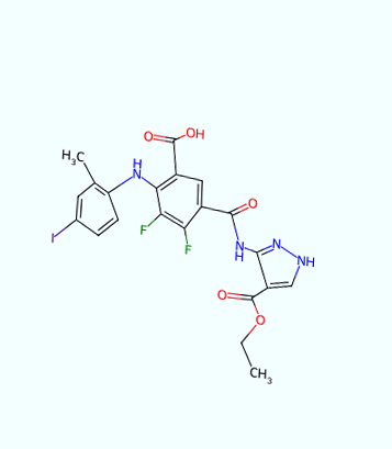 CCOC(=O)c1c[nH]nc1NC(=O)c1cc(C(=O)O)c(Nc2ccc(I)cc2C)c(F)c1F